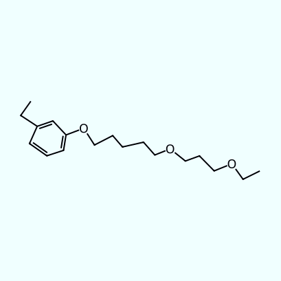 CCOCCCOCCCCCOc1cccc(CC)c1